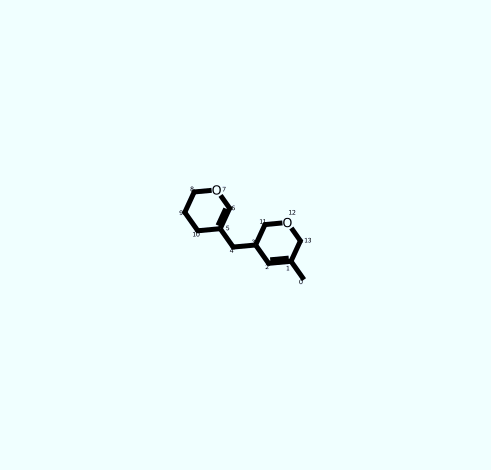 CC1=CC(CC2=COCCC2)COC1